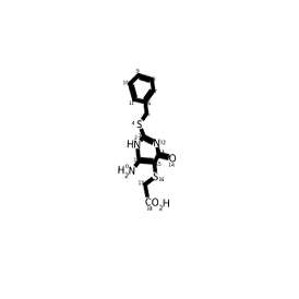 Nc1[nH]c(SCc2ccccc2)nc(=O)c1SCC(=O)O